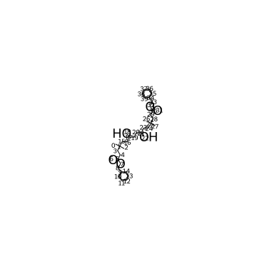 CC(C)(CCC(=O)OCc1ccccc1)CCC(O)CCC(O)CCC(C)(C)CCC(=O)OCc1ccccc1